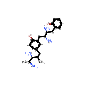 CC(C)[C@H](N)[C@@H](N)C(C)Cc1ccc(Br)c(C[C@H](N)[C@@H](N)Cc2ccccc2Br)c1